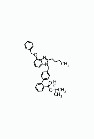 CCCCc1nc2c(OCc3ccccc3)cccc2n1Cc1ccc(-c2ccccc2C(=O)OC(C)(C)C)cc1